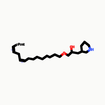 CCCCC/C=C\C/C=C\CCCCCCCCOCC(O)CC1CCCNC1